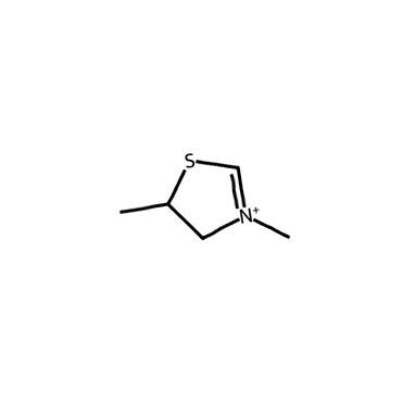 CC1C[N+](C)=CS1